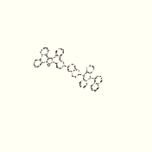 c1ccc2c(-c3c4ccccc4c(-c4ccc5cc(-c6ccc7c(c6)c6ccccc6c6c7oc7c8ccccc8c8ccccc8c76)ccc5c4)c4ccccc34)cccc2c1